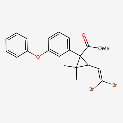 COC(=O)C1(c2cccc(Oc3ccccc3)c2)C(C=C(Br)Br)C1(C)C